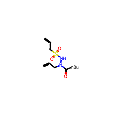 C=CCN(NS(=O)(=O)CC=C)C(=O)CCCC